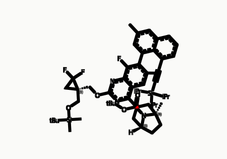 Cc1cc(-c2c(F)cc3c(N4C[C@H]5CC[C@](C)(C4)N5C(=O)OC(C)(C)C)nc(OC[C@]4(CO[Si](C)(C)C(C)(C)C)CC4(F)F)nc3c2F)c2c(C#C[Si](C(C)C)(C(C)C)C(C)C)cccc2c1